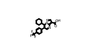 O=C(O)c1cnn2c(C3CCCCC3)c(-c3ccc(C(F)(F)F)cc3)cnc12